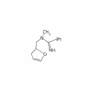 CC(C)C(=N)N(C)CC1CC=CO1